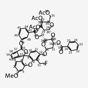 COc1ccc2c(c1)Oc1c(ccc(OC3C[C@@H](OC(=O)c4ccccc4)[C@@H](O[C@@H]4C[C@@H](OC(C)=O)[C@@H](OC(C)=O)[C@@H](COC(C)=O)O4)[C@@H](COC(=O)c4ccccc4)O3)c1CF)C21OC(=O)c2ccccc21